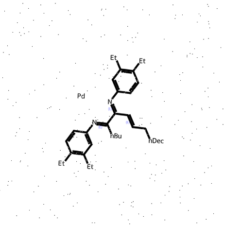 CCCCCCCCCCC/C=C/C(=N\c1ccc(CC)c(CC)c1)C(/CCCC)=N/c1ccc(CC)c(CC)c1.[Pd]